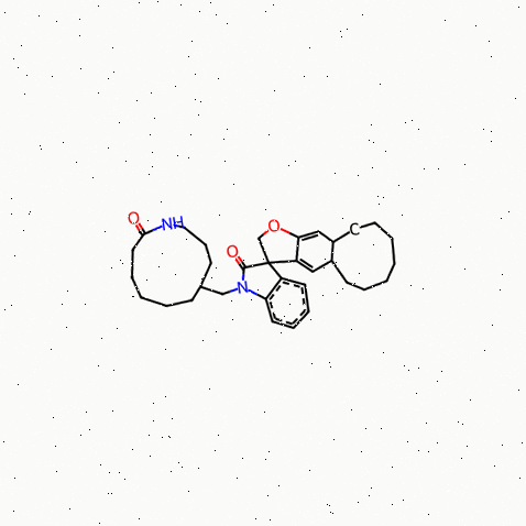 O=C1CCCCCC(CN2C(=O)C3(COC4=CC5CCCCCCCC5C=C43)c3ccccc32)CCCN1